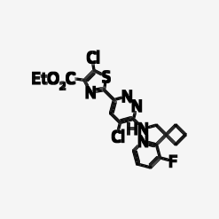 CCOC(=O)c1nc(-c2cc(Cl)c(NCC3(c4ncccc4F)CCC3)nn2)sc1Cl